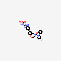 O=C(O)Nc1nc2cc(-c3ccc4c(c3)CN(C(=O)N3CC[C@H](O)C[C@@H]3c3ccc(F)cc3)CCO4)ccc2[nH]1